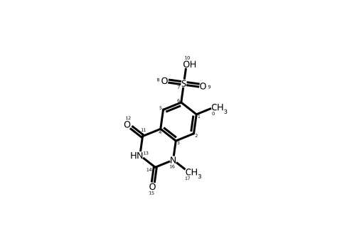 Cc1cc2c(cc1S(=O)(=O)O)c(=O)[nH]c(=O)n2C